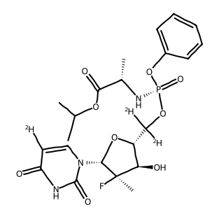 [2H]c1cn([C@@H]2O[C@H](C([2H])([2H])O[P@@](=O)(N[C@@H](C)C(=O)OC(C)C)Oc3ccccc3)[C@@H](O)[C@@]2(C)F)c(=O)[nH]c1=O